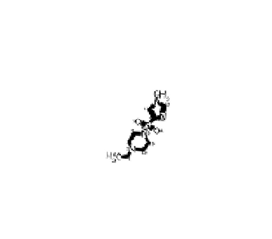 CCN1CCN(S(=O)(=O)c2cn(C)cn2)CC1